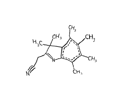 Cc1c(C)c(C)c2c(c1C)N=C(CC#N)C2(C)C